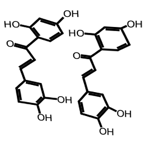 O=C(/C=C/c1ccc(O)c(O)c1)c1ccc(O)cc1O.O=C(/C=C/c1ccc(O)c(O)c1)c1ccc(O)cc1O